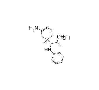 CC(O)C(Nc1ccccc1)C1(C)C=CC=C(N)C1.Cl